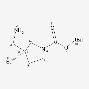 CC[C@@]1(CN)CCN(C(=O)OC(C)(C)C)C1